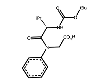 CC(C)[C@H](NC(=O)OC(C)(C)C)C(=O)N(CC(=O)O)c1ccccc1